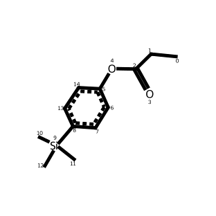 CCC(=O)Oc1ccc([Si](C)(C)C)cc1